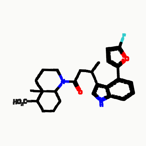 CC(CC(=O)N1CCCC2(C)C(C(=O)O)CCCC12)c1c[nH]c2cccc(-c3ccc(F)o3)c12